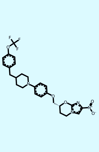 O=[N+]([O-])c1cn2c(n1)O[C@@H](COc1ccc(N3CCC(Cc4ccc(OC(F)(F)F)cc4)CC3)cc1)CC2